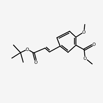 COC(=O)c1cc(/C=C/C(=O)OC(C)(C)C)ccc1OC